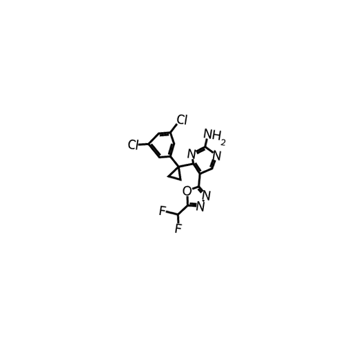 Nc1ncc(-c2nnc(C(F)F)o2)c(C2(c3cc(Cl)cc(Cl)c3)CC2)n1